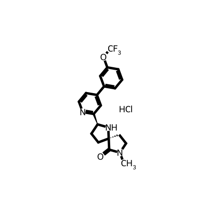 CN1CC[C@@]2(CC[C@@H](c3cc(-c4cccc(OC(F)(F)F)c4)ccn3)N2)C1=O.Cl